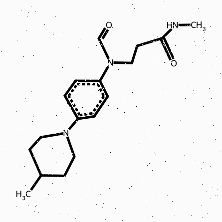 CNC(=O)CCN(C=O)c1ccc(N2CCC(C)CC2)cc1